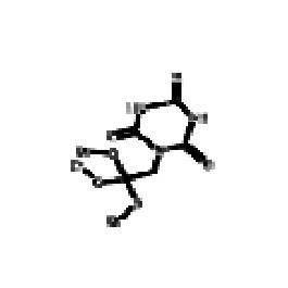 CCOC(Cn1c(=O)[nH]c(=O)[nH]c1=O)(OCC)OCC